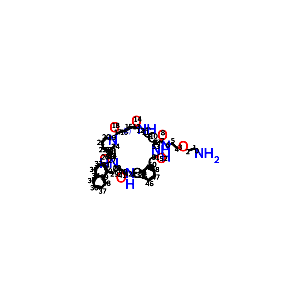 NCCOCCNC(=O)[C@@H]1CCNC(=O)/C=C/C(=O)N2CCC[C@H](C2)C(=O)N[C@@H](Cc2cccc3ccccc23)C(=O)NCc2ccccc2CC(=O)N1